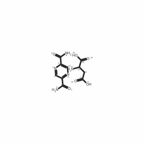 NC(=O)c1cnc(C(N)=O)cn1.NC(CC(=O)O)C(=O)O